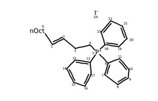 CCCCCCCCC=CCC[P+](c1ccccc1)(c1ccccc1)c1ccccc1.[I-]